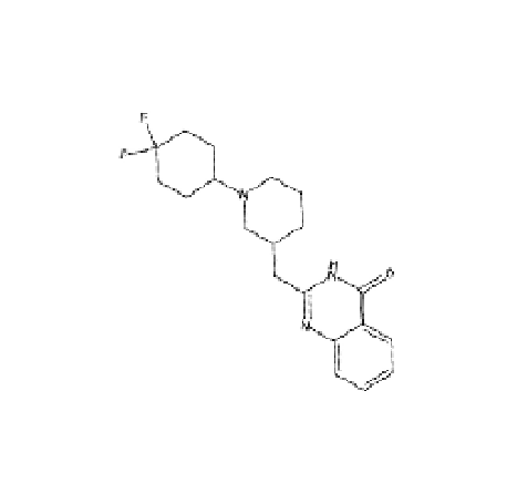 O=c1[nH]c(CC2CCCN(C3CCC(F)(F)CC3)C2)nc2ccccc12